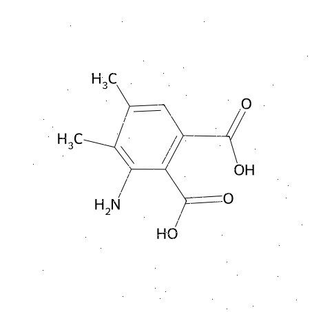 Cc1cc(C(=O)O)c(C(=O)O)c(N)c1C